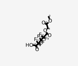 COC(=O)COC(=O)C(F)(F)C(F)(F)C(F)(F)C(=O)O